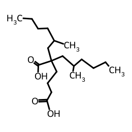 CCCCC(C)CC(CCCC(=O)O)(CC(C)CCCC)C(=O)O